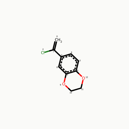 C=C(Cl)c1ccc2c(c1)OCCO2